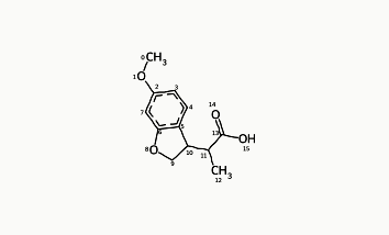 COc1ccc2c(c1)OCC2C(C)C(=O)O